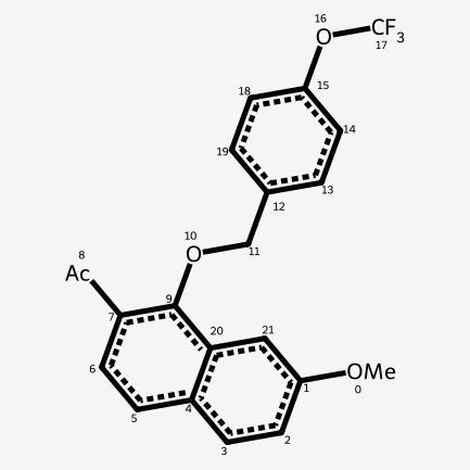 COc1ccc2ccc(C(C)=O)c(OCc3ccc(OC(F)(F)F)cc3)c2c1